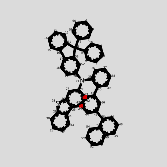 c1ccc(C2(c3ccccc3)c3ccccc3-c3ccc(N(c4ccc5c(c4)sc4ccccc45)c4ccccc4-c4cccc(-c5cccc6ccccc56)c4)cc32)cc1